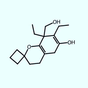 CCC1=C(O)CC2=C(OC3(CCC3)CC2)C1(CC)CO